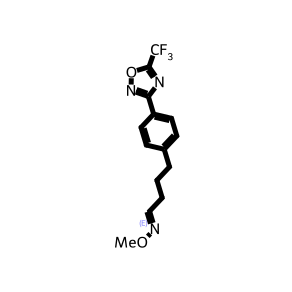 CO/N=C/CCCc1ccc(-c2noc(C(F)(F)F)n2)cc1